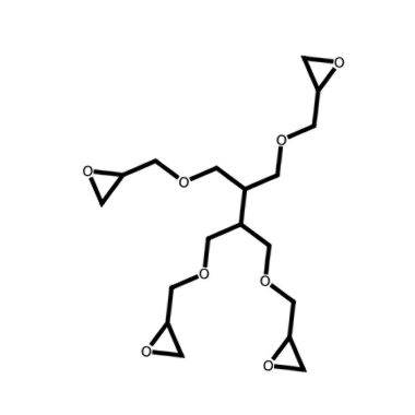 C(OCC(COCC1CO1)C(COCC1CO1)COCC1CO1)C1CO1